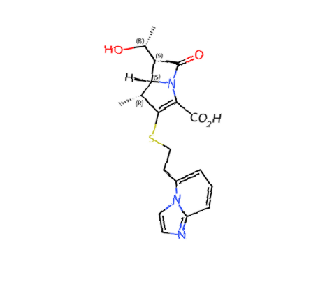 C[C@@H](O)[C@H]1C(=O)N2C(C(=O)O)=C(SCCc3cccc4nccn34)[C@H](C)[C@H]12